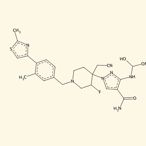 COC(O)Nc1nn(C2(CC#N)CCN(Cc3ccc(-c4csc(C)n4)c(C)c3)CC2F)cc1C(N)=O